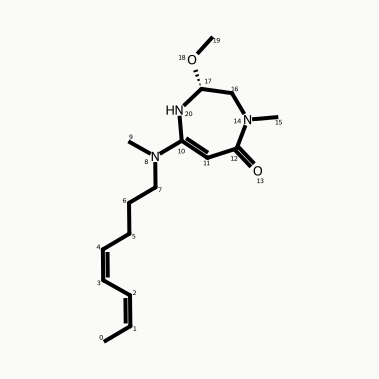 C/C=C\C=C/CCCN(C)C1=CC(=O)N(C)C[C@@H](OC)N1